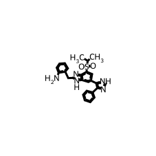 CC(C)S(=O)(=O)c1cc(-c2[nH]cnc2-c2ccccc2)cc2[nH]c(Cc3ccccc3N)nc12